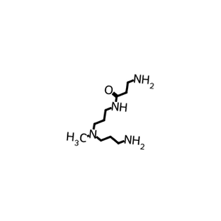 CN(CCCN)CCCNC(=O)CCN